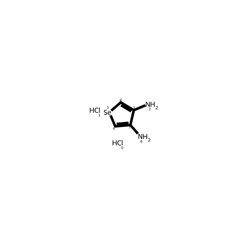 Cl.Cl.Nc1c[se]cc1N